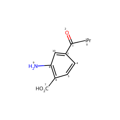 CC(C)C(=O)c1ccc(C(=O)O)c(N)c1